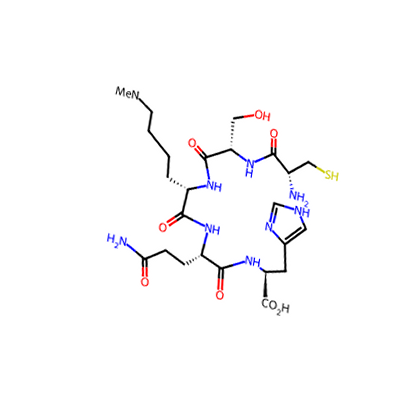 CNCCCC[C@H](NC(=O)[C@H](CO)NC(=O)[C@@H](N)CS)C(=O)N[C@@H](CCC(N)=O)C(=O)N[C@@H](Cc1c[nH]cn1)C(=O)O